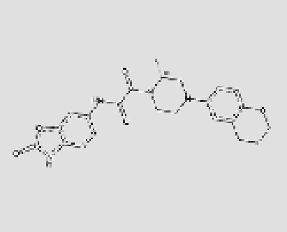 C[C@@H]1CN(c2ccc3c(c2)CCCO3)CCN1C(=O)C(=O)Nc1ccc2[nH]c(=O)oc2c1